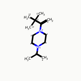 C=C(N1CCN(C(C)C)CC1)C(C)(C)C